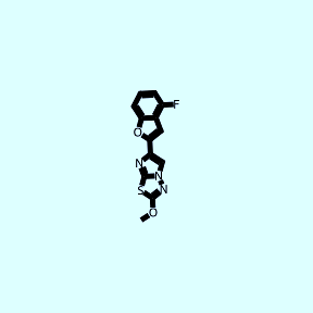 COc1nn2cc(-c3cc4c(F)cccc4o3)nc2s1